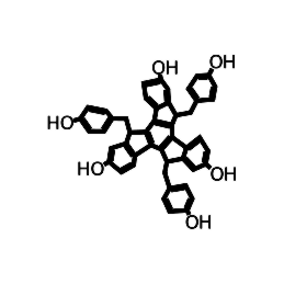 Oc1ccc(CC2c3cc(O)ccc3-c3c2c2c(c4c3C(Cc3ccc(O)cc3)c3cc(O)ccc3-4)C(Cc3ccc(O)cc3)c3cc(O)ccc3-2)cc1